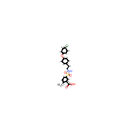 Cc1ccc(S(=O)(=O)NCCc2ccc(Oc3ccc(Cl)cc3)cc2)cc1C(=O)O